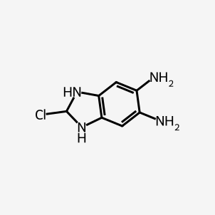 Nc1cc2c(cc1N)NC(Cl)N2